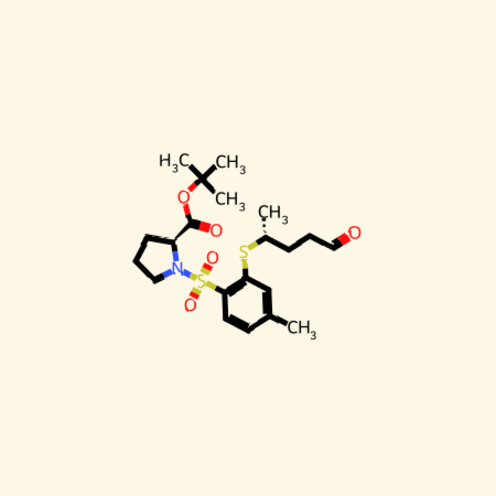 Cc1ccc(S(=O)(=O)N2CCC[C@H]2C(=O)OC(C)(C)C)c(S[C@H](C)CCC=O)c1